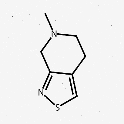 CN1CCc2csnc2C1